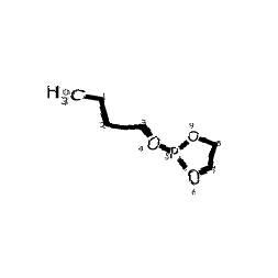 CCCCOP1OCCO1